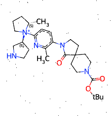 Cc1nc([N+]2([C@H]3CCNC3)CCC[C@@H]2C)ccc1N1CCC2(CCN(C(=O)OC(C)(C)C)CC2)C1=O